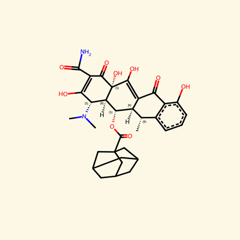 C[C@H]1c2cccc(O)c2C(=O)C2=C(O)[C@]3(O)C(=O)C(C(N)=O)=C(O)[C@@H](N(C)C)[C@@H]3[C@@H](OC(=O)C34CC5CC(CC(C5)C3)C4)[C@@H]21